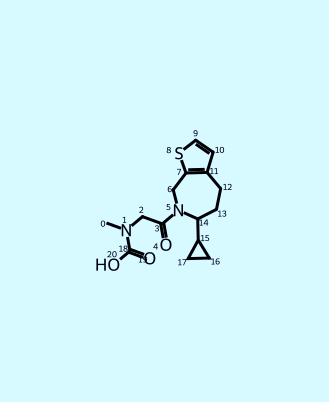 CN(CC(=O)N1Cc2sccc2CCC1C1CC1)C(=O)O